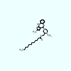 CCCCCCCCCCCC(=O)OCC1CN(C2=Nc3ccccc3Nc3sc(C)cc32)CCN1C